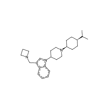 CC(C)[C@H]1CC[C@@H](N2CCC(n3cc(CN4CCC4)c4ccccc43)CC2)CC1